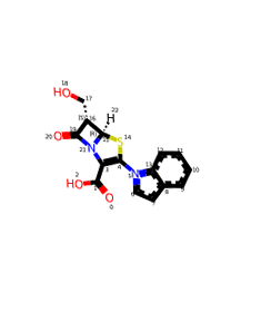 O=C(O)C1=C(n2ccc3ccccc32)S[C@@H]2[C@@H](CO)C(=O)N12